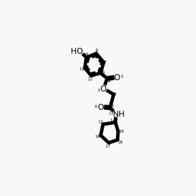 O=C(COC(=O)c1ccc(O)cc1)NC1CCCCC1